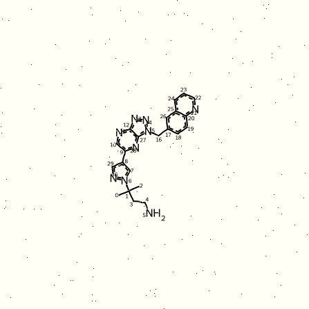 CC(C)(CCN)n1cc(-c2cnc3nnn(Cc4ccc5ncccc5c4)c3n2)cn1